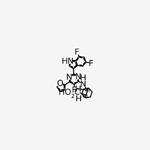 O=C(O)[C@@H]1C2CCC(CC2)[C@H]1Nc1nc(-c2c[nH]c3c(F)cc(F)cc23)nc(-c2ccco2)c1F